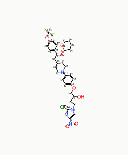 O=[N+]([O-])c1cn(CCC(O)COc2ccc(N3CCC(CC(O[C@@H]4CCCCO4)c4ccc(OC(F)(F)F)cc4)CC3)cc2)c(Cl)n1